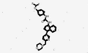 O=C(Nc1ccc(OC(F)F)cc1)Nc1ccc(-c2ccc(CN3CCOCC3)nc2)c2ccccc12